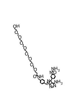 Nc1nc2cc(-c3nn(Cc4ccc(CNC(=O)CCOCCOCCOCCOCCOCCOCCOCCOCCO)cc4)c4ncnc(N)c34)ccc2o1